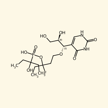 CCC(F)(CCO[C@@H](c1c[nH]c(=O)[nH]c1=O)[C@H](O)CO)OP(=O)(O)C(O)(CC)CC